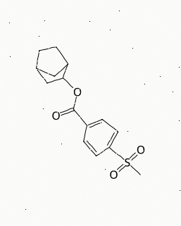 CS(=O)(=O)c1ccc(C(=O)OC2CC3CCC2C3)cc1